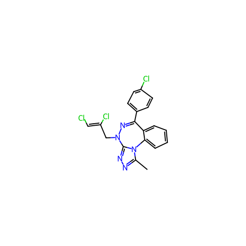 Cc1nnc2n1-c1ccccc1C(c1ccc(Cl)cc1)=NN2C/C(Cl)=C/Cl